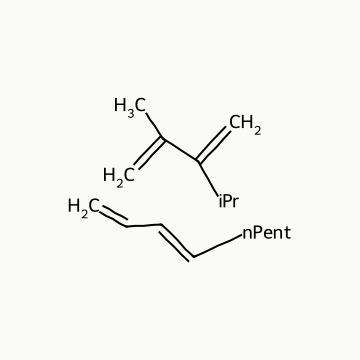 C=C(C)C(=C)C(C)C.C=C/C=C/CCCCC